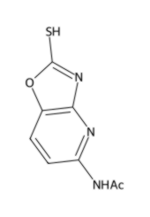 CC(=O)Nc1ccc2oc(S)nc2n1